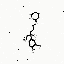 N#CC(CO)(CCCOC1CCCCO1)c1ccc(Cl)c(Cl)c1